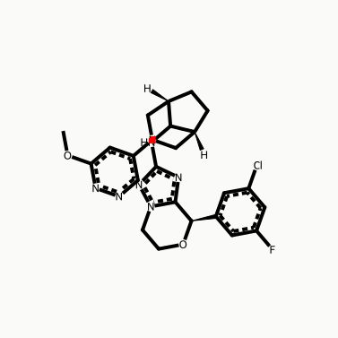 COc1cc(N2C[C@H]3CC[C@@H](C2)C3Nc2nc3n(n2)CCO[C@@H]3c2cc(F)cc(Cl)c2)cnn1